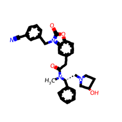 CN(C(=O)Cc1ccc2oc(=O)n(Cc3cccc(C#N)c3)c2c1)[C@H](CN1CCC(O)C1)c1ccccc1